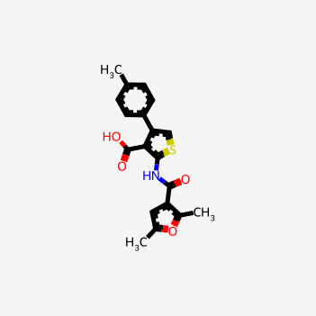 Cc1ccc(-c2csc(NC(=O)c3cc(C)oc3C)c2C(=O)O)cc1